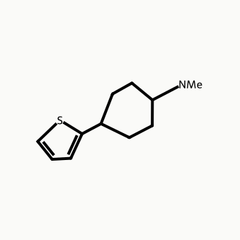 CNC1CCC(c2cccs2)CC1